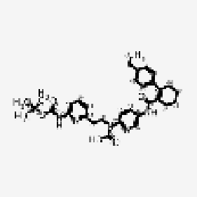 CCc1ccc(C2=C(C(=O)Nc3ccc(N(CCc4cccc(NC(=O)OC(C)(C)C)n4)C(=O)O)nc3)CCCC2)cc1